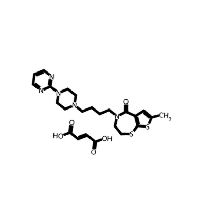 Cc1cc2c(s1)SCCN(CCCCN1CCN(c3ncccn3)CC1)C2=O.O=C(O)C=CC(=O)O